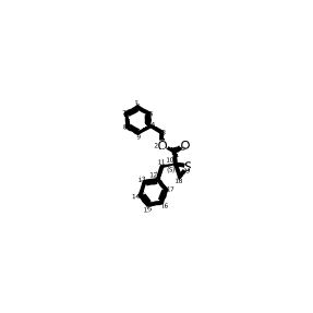 O=C(OCc1ccccc1)[C@@]1(Cc2ccccc2)CS1